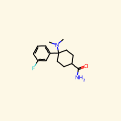 CN(C)C1(c2cccc(F)c2)CCC(C(N)=O)CC1